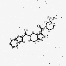 O=C(c1cc2ccccn2c1)N1CCc2n[nH]c(C(=O)N3CCOC(F)(F)C3)c2C1